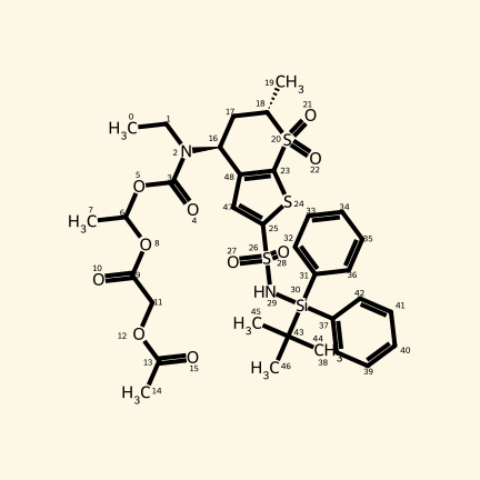 CCN(C(=O)OC(C)OC(=O)COC(C)=O)[C@H]1C[C@H](C)S(=O)(=O)c2sc(S(=O)(=O)N[Si](c3ccccc3)(c3ccccc3)C(C)(C)C)cc21